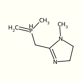 C=[PH](C)CC1=NCCN1C